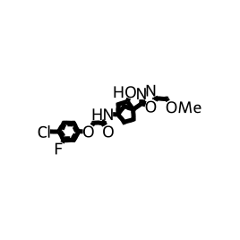 COCc1nnc(C23CCC(NC(=O)COc4ccc(Cl)c(F)c4)(CC2O)C3)o1